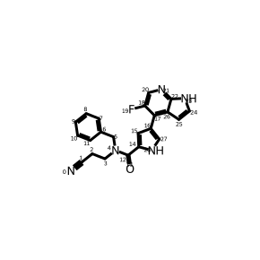 N#CCCN(Cc1ccccc1)C(=O)c1cc(-c2c(F)cnc3[nH]ccc23)c[nH]1